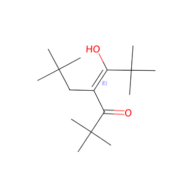 CC(C)(C)C/C(C(=O)C(C)(C)C)=C(\O)C(C)(C)C